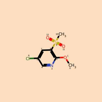 COc1ncc(Cl)cc1S(C)(=O)=O